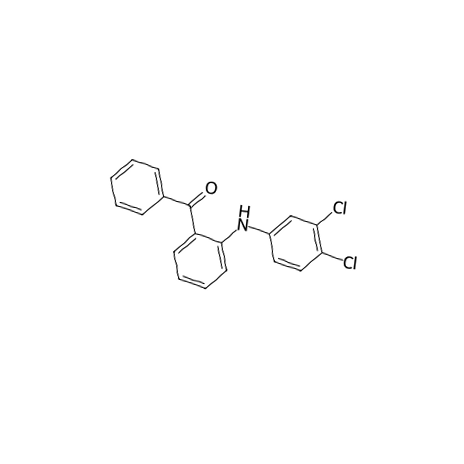 O=C(c1ccccc1)c1ccccc1Nc1ccc(Cl)c(Cl)c1